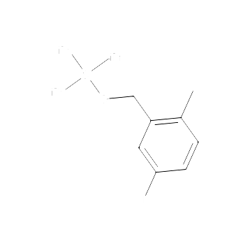 Cc1ccc(I)cc1CO[Si](C(C)C)(C(C)C)C(C)C